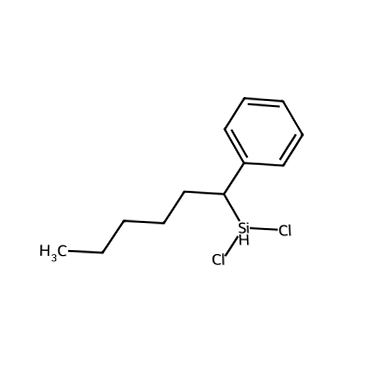 CCCCCC(c1ccccc1)[SiH](Cl)Cl